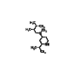 CC(C)C(C)CN(C)C1CCNC(C(C)C)C1